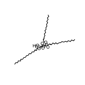 CCCCCCCCCCCCCCCC=CC(=O)O[C@H]1[C@@H]([C@@H](CO)OC(=O)C=CCCCCCCCCCCCCCCC)OC[C@@H]1OC(=O)C=CCCCCCCCCCCCCCCC